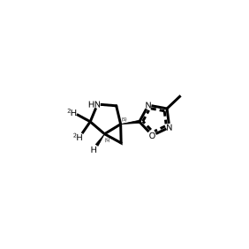 [2H]C1([2H])NC[C@]2(c3nc(C)no3)C[C@H]12